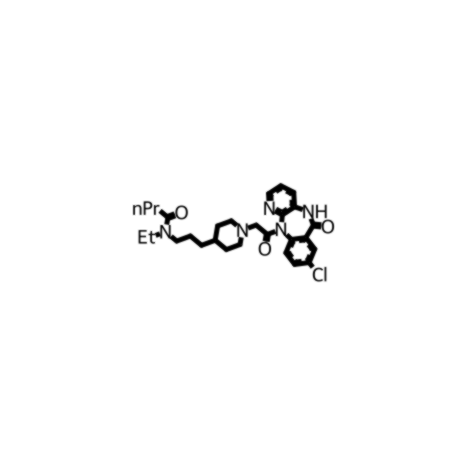 CCCC(=O)N(CC)CCCC1CCN(CC(=O)N2c3ccc(Cl)cc3C(=O)Nc3cccnc32)CC1